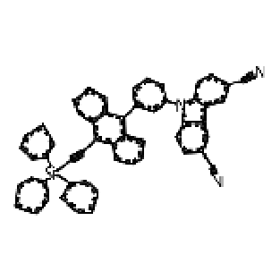 N#Cc1ccc2c(c1)c1cc(C#N)ccc1n2-c1cccc(-c2c3ccccc3c(C#C[Si](c3ccccc3)(c3ccccc3)c3ccccc3)c3ccccc23)c1